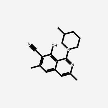 Cc1cc2cc(C)c(C#N)c(O)c2c(N2CCCC(C)C2)n1